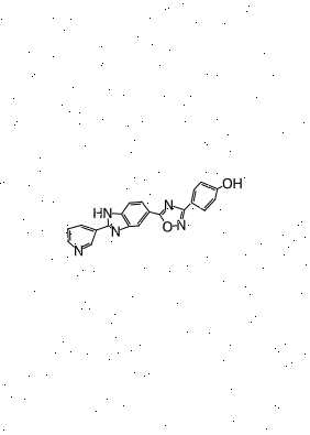 Oc1ccc(-c2noc(-c3ccc4[nH]c(-c5cccnc5)nc4c3)n2)cc1